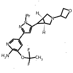 CC(C)n1nc(-c2cnc(N)c(OC(C)(F)F)c2)cc1C1[C@H]2CN(C3COC3)C[C@@H]12